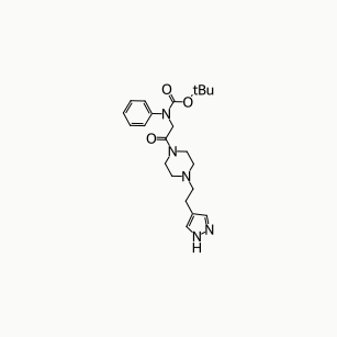 CC(C)(C)OC(=O)N(CC(=O)N1CCN(CCc2cn[nH]c2)CC1)c1ccccc1